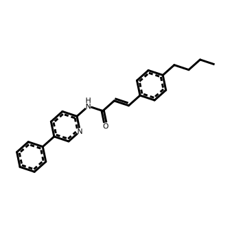 CCCCc1ccc(/C=C/C(=O)Nc2ccc(-c3ccccc3)cn2)cc1